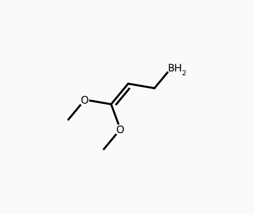 BCC=C(OC)OC